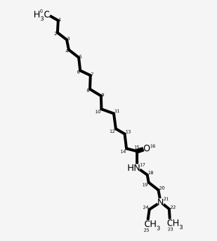 CCCCCCCCCCCCCCCC(=O)NCCCN(CC)CC